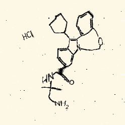 CC(C)(CN)NC(=O)c1ccc2c(C3CCCCC3)c3n(c2c1)CCOc1ccccc1-3.Cl